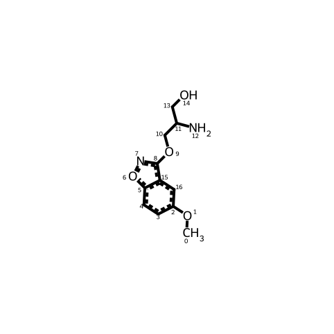 COc1ccc2onc(OCC(N)CO)c2c1